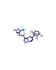 Cn1cc(NC(=O)c2cnn3ccc(N4C[C@H]5CC[C@@H]4CN5)nc23)c(C(F)(F)F)n1